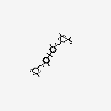 CC(=O)OCC(COc1ccc(C(C)(C)c2ccc(OCC(CCl)OC(C)=O)c(C)c2)cc1C)OC(C)=O